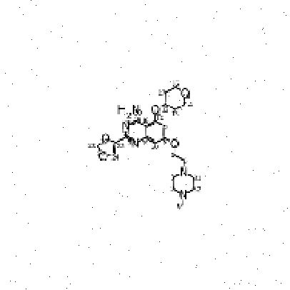 CN1CCN(CCOc2cc(OC3CCOCC3)c3c(N)nc(C4=COCO4)nc3c2)CC1